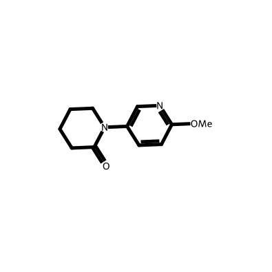 COc1ccc(N2CCCCC2=O)cn1